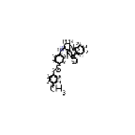 Cc1ccc(CSc2ccc(/C=C3/CCn4c3nc(=O)c3ccccc34)cc2)cc1